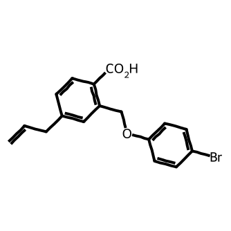 C=CCc1ccc(C(=O)O)c(COc2ccc(Br)cc2)c1